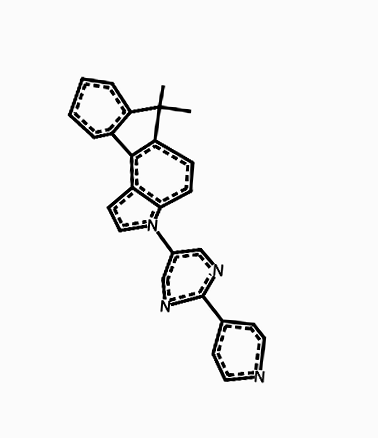 CC1(C)c2ccccc2-c2c1ccc1c2ccn1-c1cnc(-c2ccncc2)nc1